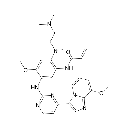 C=CC(=O)Nc1cc(Nc2nccc(-c3cnc4c(OC)cccn34)n2)c(OC)cc1N(C)CCN(C)C